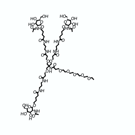 CCOCCOCCOCCOCCOCCC(=O)NC(COCCC(=O)NCCCNC(=O)CCCCOC1O[C@H](CO)[C@H](O)[C@H](O)[C@H]1NC(C)=O)(COCCC(=O)NCCCNC(=O)CCCCO[C@@H]1O[C@H](CO)[C@H](O)[C@H](O)[C@H]1NC(C)=O)COCCC(=O)NCCCNC(=O)CCCCO[C@@H]1O[C@H](CO)[C@H](O)[C@H](O)[C@H]1NC(C)=O